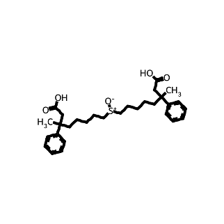 CC(CCCCC[S+]([O-])CCCCCC(C)(CC(=O)O)c1ccccc1)(CC(=O)O)c1ccccc1